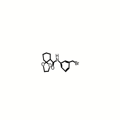 O=C(Nc1cccc(CBr)c1)C1CCCCC12OCCO2